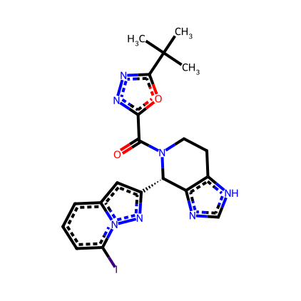 CC(C)(C)c1nnc(C(=O)N2CCc3[nH]cnc3[C@@H]2c2cc3cccc(I)n3n2)o1